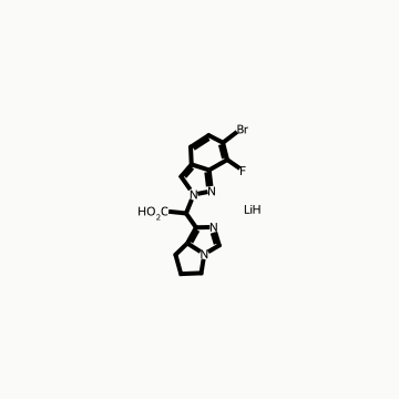 O=C(O)C(c1ncn2c1CCC2)n1cc2ccc(Br)c(F)c2n1.[LiH]